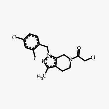 Cc1nn(Cc2ccc(Cl)cc2F)c2c1CCN(C(=O)CCl)C2